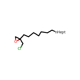 CCCCCCCCCCCCCCC1(CCl)CO1